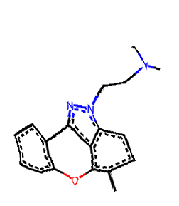 Cc1ccc2c3c(nn2CCN(C)C)-c2ccccc2Oc13